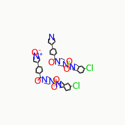 O=C(c1ccc(-c2cc[n+]([O-])cc2)cc1)N1CCN(S(=O)(=O)n2cc3ccc(Cl)cc3c2)CC1.O=C(c1ccc(-c2ccncc2)cc1)N1CCN(S(=O)(=O)N2Cc3ccc(Cl)cc3C2)CC1